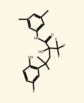 Cc1cc(C)cc(NC(=O)C(O)(CC(C)(C)c2cc(F)ccc2O)C(F)(F)F)c1